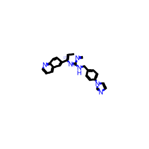 C=N/C(=N\C(=C/C)c1ccc2ncccc2c1)NCc1ccc(-n2ccnc2)cc1